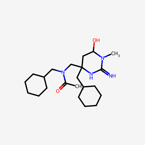 CC(=O)N(CC1CCCCC1)CC1(CC2CCCCC2)CC(O)N(C)C(=N)N1